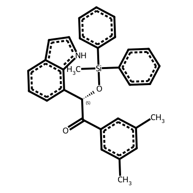 Cc1cc(C)cc(C(=O)[C@@H](O[Si](C)(c2ccccc2)c2ccccc2)c2cccc3cc[nH]c23)c1